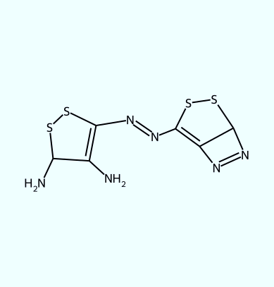 NC1=C(N=NC2=C3N=NC3SS2)SSC1N